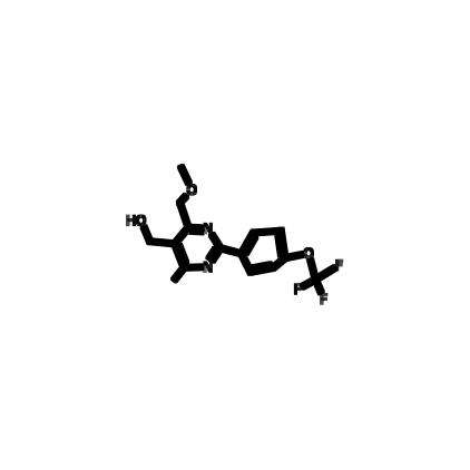 COCc1nc(-c2ccc(OC(F)(F)F)cc2)nc(C)c1CO